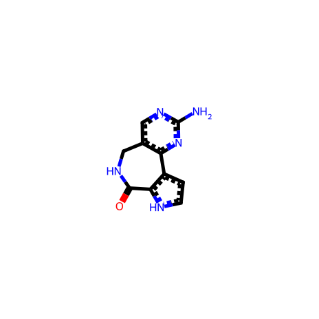 Nc1ncc2c(n1)-c1cc[nH]c1C(=O)NC2